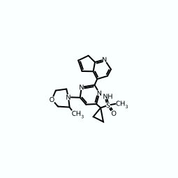 CC1COCCN1c1cc(C2(S(C)(=N)=O)CC2)nc(-c2ccnc3c2C=CC3)n1